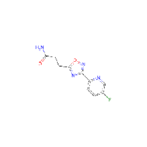 NC(=O)CCc1nc(-c2ccc(F)cn2)no1